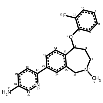 CN1CCC(Oc2ccccc2F)c2ccc(-c3ccc(N)nn3)cc2C1